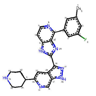 Cc1cc(F)cc(-c2nccc3[nH]c(-c4n[nH]c5cnc(C6CCNCC6)cc45)nc23)c1